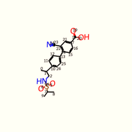 CC(CNS(=O)(=O)C(C)C)c1ccc(-c2ccc(C(=O)O)cc2C#N)cc1